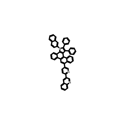 c1ccc(-c2c(-c3ccccc3)n(-c3ccc4ccccc4c3)c3c4ccccc4c4cc(-c5ccc(-c6cnc7ccccc7c6)nc5)c5ccccc5c4c23)cc1